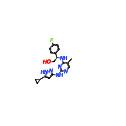 Cc1cnc(Nc2cc(C3CC3)[nH]n2)nc1N[C@@H](CO)c1ccc(F)cc1